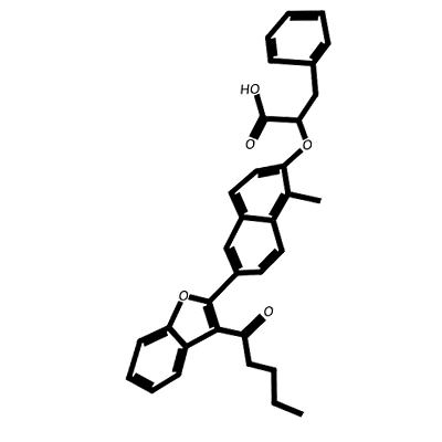 CCCCC(=O)c1c(-c2ccc3c(C)c(OC(Cc4ccccc4)C(=O)O)ccc3c2)oc2ccccc12